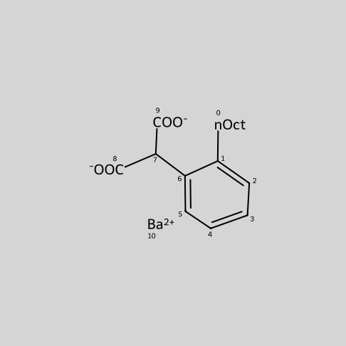 CCCCCCCCc1ccccc1C(C(=O)[O-])C(=O)[O-].[Ba+2]